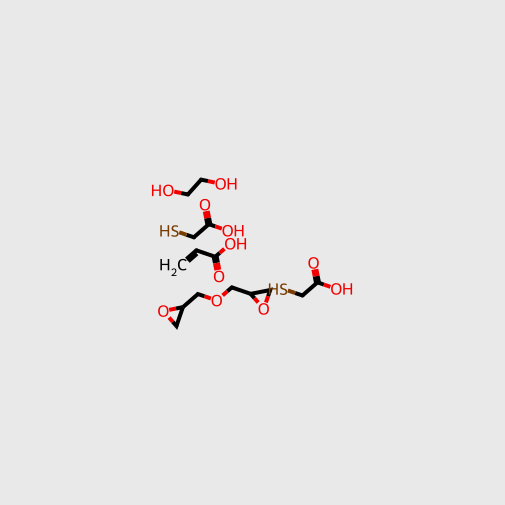 C(OCC1CO1)C1CO1.C=CC(=O)O.O=C(O)CS.O=C(O)CS.OCCO